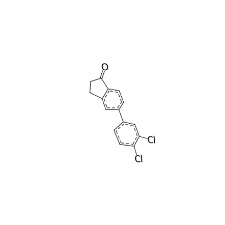 O=C1CCc2cc(-c3ccc(Cl)c(Cl)c3)ccc21